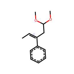 C/C=C(/CC(OC)OC)c1ccccc1